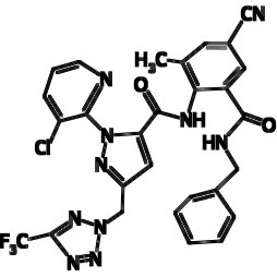 Cc1cc(C#N)cc(C(=O)NCc2ccccc2)c1NC(=O)c1cc(Cn2nnc(C(F)(F)F)n2)nn1-c1ncccc1Cl